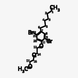 CCCCCCCc1cc(Br)c(OCCOCCOC)cc1Br